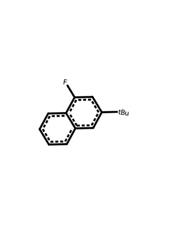 CC(C)(C)c1cc(F)c2ccccc2c1